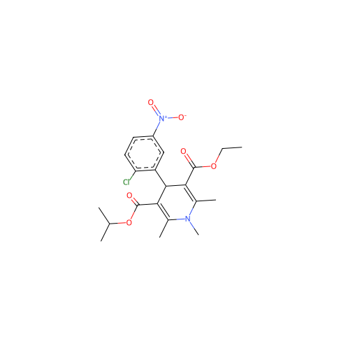 CCOC(=O)C1=C(C)N(C)C(C)=C(C(=O)OC(C)C)C1c1cc([N+](=O)[O-])ccc1Cl